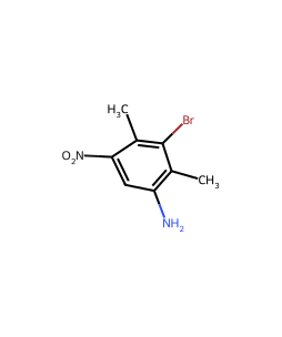 Cc1c(N)cc([N+](=O)[O-])c(C)c1Br